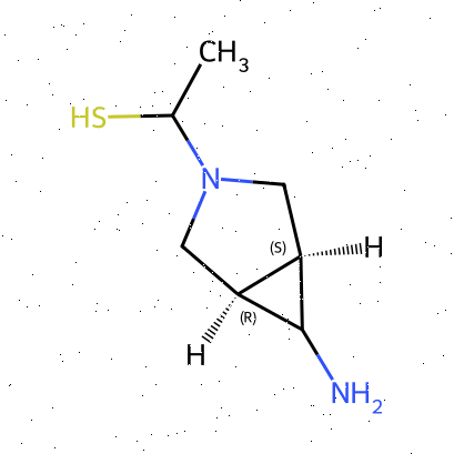 CC(S)N1C[C@@H]2C(N)[C@@H]2C1